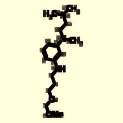 COCOCCCNc1[c]ccc(N(C)CCN(C)C)c1